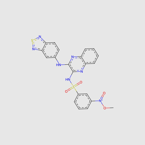 CO[N+](=O)c1cccc(S(=O)(=O)Nc2nc3ccccc3nc2Nc2ccc3nsnc3c2)c1